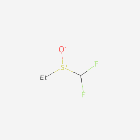 [CH2]C[S+]([O-])C(F)F